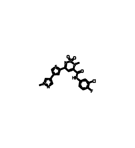 CN1C(C(=O)Nc2ccc(F)c(Cl)c2)=CC(c2cc(-c3cnn(C)c3)cs2)=NS1(=O)=O